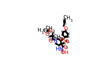 CC#CCOc1ccc(S(=O)(=O)CC2(C(=O)NO)CCN(C(=O)C3(C)COC(C)(C)OC3)CC2)cc1